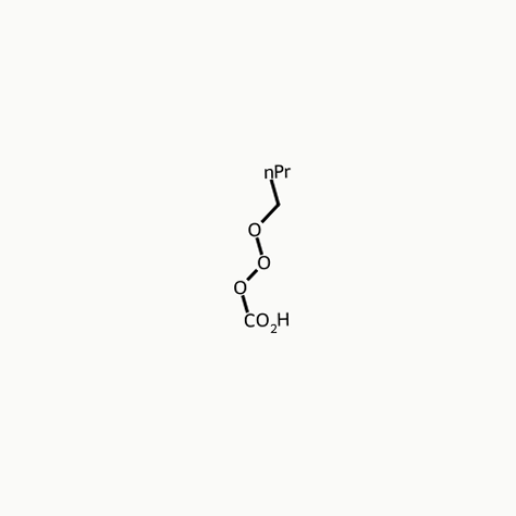 CCCCOOOC(=O)O